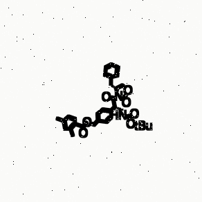 Cc1ccc(C(=O)OCc2ccc([C@@H](CNC(=O)OC(C)(C)C)C(=O)N3C(=O)OC[C@H]3Cc3ccccc3)cc2)c(C)c1